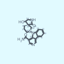 NC(=O)c1cncc2c3ccccc3n(N3CCC[C@]4(C3)C(=O)NC[C@@H]4O)c12